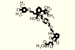 CNC(=O)CCC(C=O)N1C(=O)c2cccc(NCCOCCN3CCN(CCn4c(C(=O)O)c(CCCOc5cc(C)c(Cl)c(C)c5)c5cccc(-c6c(C)nn(C)c6C)c54)CC3)c2C1=O